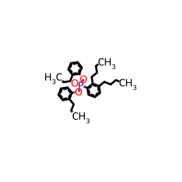 CCCCc1cccc(P(=O)(Oc2ccccc2CCC)Oc2ccccc2CCC)c1CCCC